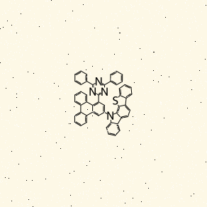 c1ccc(-c2nc(-c3ccccc3)nc(-c3cc(-n4c5ccccc5c5ccc6c7ccccc7sc6c54)cc4c5ccccc5c5ccccc5c34)n2)cc1